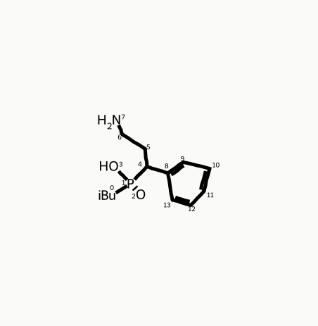 CCC(C)P(=O)(O)C(CCN)c1ccccc1